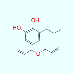 C=CCOCC=C.CCCc1cccc(O)c1O